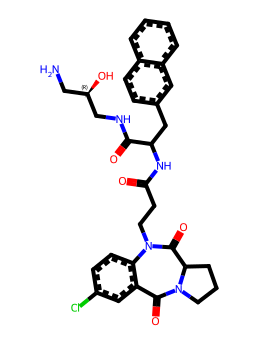 NC[C@@H](O)CNC(=O)C(Cc1ccc2ccccc2c1)NC(=O)CCN1C(=O)C2CCCN2C(=O)c2cc(Cl)ccc21